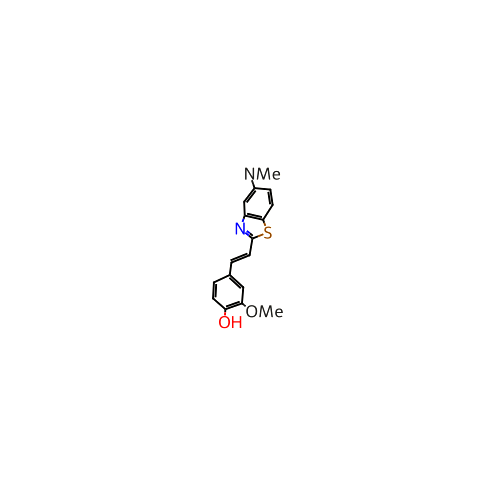 CNc1ccc2sc(C=Cc3ccc(O)c(OC)c3)nc2c1